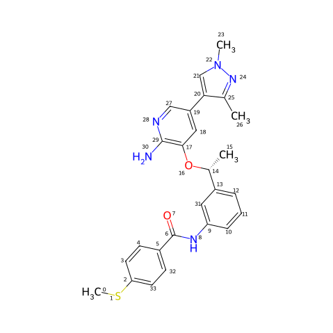 CSc1ccc(C(=O)Nc2cccc([C@@H](C)Oc3cc(-c4cn(C)nc4C)cnc3N)c2)cc1